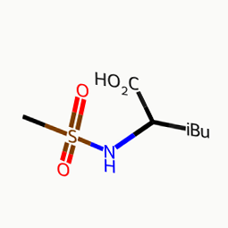 CCC(C)C(NS(C)(=O)=O)C(=O)O